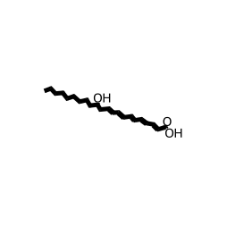 CCCCCCCCCC(O)CC=CC=CC=CC=CC=CC(=O)O